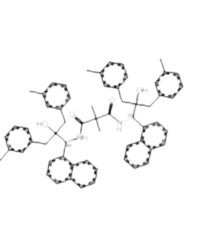 Cc1cccc(CC(O)(Cc2cccc(C)c2)[C@@H](NC(=O)C(C)(C)C(=O)N[C@@H](c2cccc3ccccc23)C(O)(Cc2cccc(C)c2)Cc2cccc(C)c2)c2cccc3ccccc23)c1